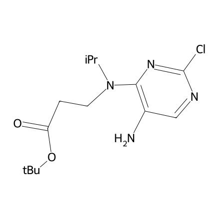 CC(C)N(CCC(=O)OC(C)(C)C)c1nc(Cl)ncc1N